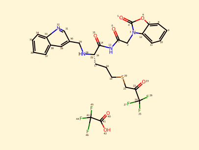 O=C(Cn1c(=O)oc2ccccc21)NC(=O)[C@H](CCCSCC(=O)C(F)(F)F)NCc1cnc2ccccc2c1.O=C(O)C(F)(F)F